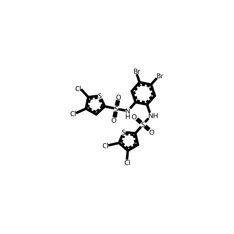 O=S(=O)(Nc1cc(Br)c(Br)cc1NS(=O)(=O)c1cc(Cl)c(Cl)s1)c1cc(Cl)c(Cl)s1